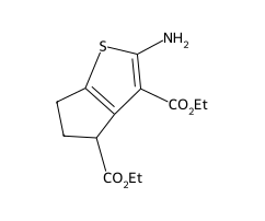 CCOC(=O)c1c(N)sc2c1C(C(=O)OCC)CC2